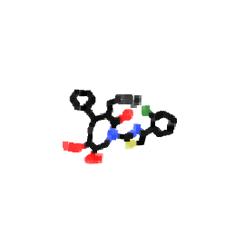 O=C(O)CC1C(=O)N(c2nc(-c3ccccc3Cl)cs2)CC(O)C(O)CC1c1ccccc1